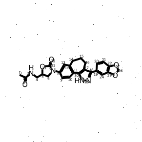 CC(=O)NCC1CN(c2ccc3c(c2)CCCc2c(-c4ccc5c(c4)OCO5)n[nH]c2-3)C(=O)O1